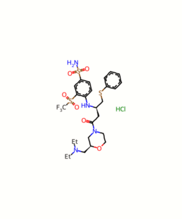 CCN(CC)C[C@H]1CN(C(=O)C[C@H](CSc2ccccc2)Nc2ccc(S(N)(=O)=O)cc2S(=O)(=O)C(F)(F)F)CCO1.Cl